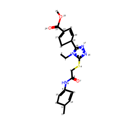 CCn1c(SCC(=O)NC2=CCC(C)C=C2)nnc1C1C=CC(C(=O)OC)=CC1